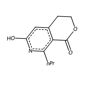 CCCc1nc(O)cc2c1C(=O)OCC2